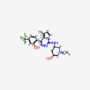 CN1CC(O)CC(Nc2nnc(-c3ccc(C(F)(F)F)cc3O)c3c(F)ccn23)C1